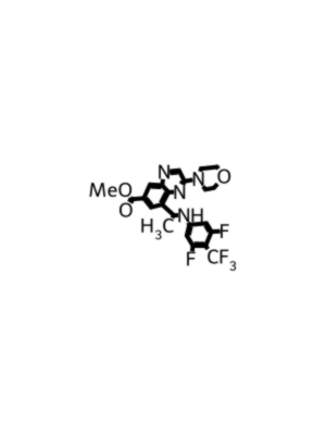 COC(=O)c1cc(C(C)Nc2cc(F)c(C(F)(F)F)c(F)c2)c2nc(N3CCOCC3)cnc2c1